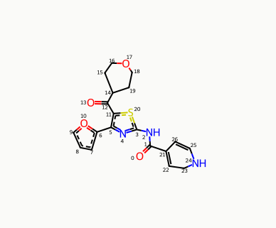 O=C(Nc1nc(-c2ccco2)c(C(=O)C2CCOCC2)s1)C1=CCNC=C1